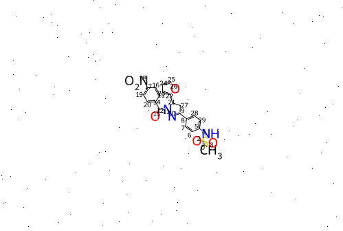 CS(=O)(=O)Nc1ccc(C2=NN(C(=O)c3ccc([N+](=O)[O-])cc3)C(c3ccco3)C2)cc1